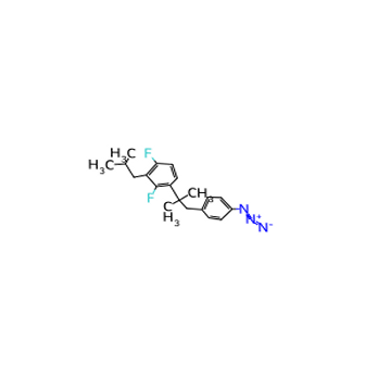 CC(C)Cc1c(F)ccc(C(C)(C)Cc2ccc(N=[N+]=[N-])cc2)c1F